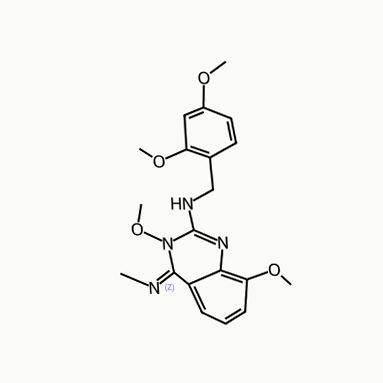 C/N=c1/c2cccc(OC)c2nc(NCc2ccc(OC)cc2OC)n1OC